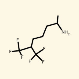 CC(N)CCCC(C(F)(F)F)C(F)(F)F